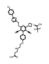 N#Cc1c(SCc2csc(-c3ccc(Cl)cc3)n2)nc(N2CCC2)c(C#N)c1-c1ccc(OCCNCCC(=O)O)cc1.O=C(O)C(F)(F)F